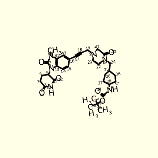 Cn1c(=O)n(C2CCC(=O)NC2=O)c2ccc(C#CCN3CCN(CC4CCC(NC(=O)OC(C)(C)C)CC4)C(=O)C3)cc21